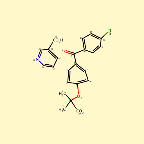 CC(C)(Oc1ccc(C(=O)c2ccc(Cl)cc2)cc1)C(=O)O.O=C(O)c1cccnc1